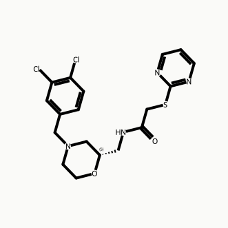 O=C(CSc1ncccn1)NC[C@H]1CN(Cc2ccc(Cl)c(Cl)c2)CCO1